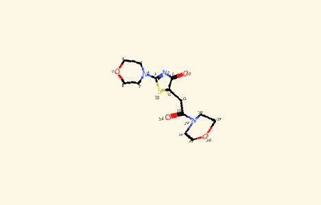 O=C1N=C(N2CCOCC2)SC1CC(=O)N1CCOCC1